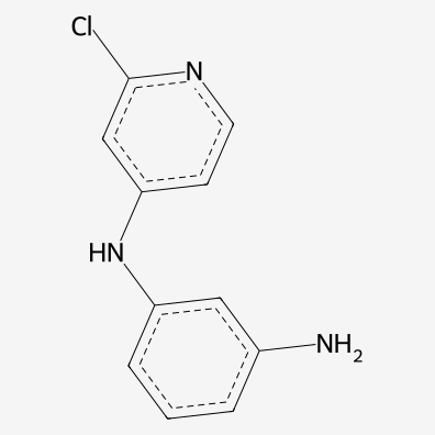 Nc1cccc(Nc2ccnc(Cl)c2)c1